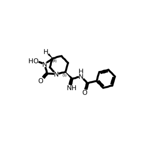 N=C(NC(=O)c1ccccc1)[C@@H]1CC[C@@H]2CN1C(=O)N2O